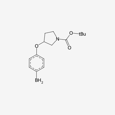 Bc1ccc(OC2CCN(C(=O)OC(C)(C)C)C2)cc1